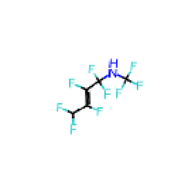 F/C(=C(/F)C(F)(F)NC(F)(F)F)C(F)F